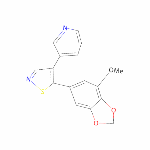 COc1cc(-c2sncc2-c2cccnc2)cc2c1OCO2